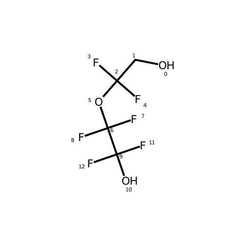 OCC(F)(F)OC(F)(F)C(O)(F)F